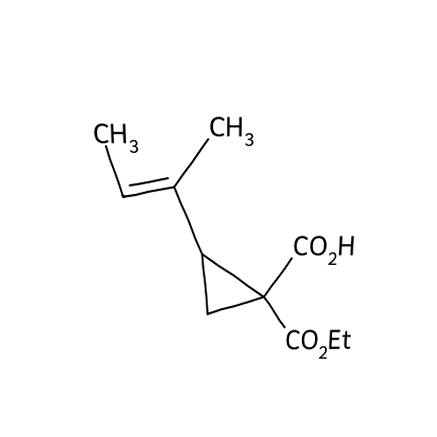 CC=C(C)C1CC1(C(=O)O)C(=O)OCC